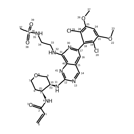 C=CC(=O)N[C@H]1CCOC[C@H]1Nc1ncc2cc(-c3c(Cl)c(OC)cc(OC)c3Cl)nc(NCCNS(C)(=O)=O)c2n1